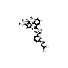 CCC(CC)CNc1cccc(S(=O)(=O)NC(=O)c2cccnc2N2CCC(C)C2(C)C)n1